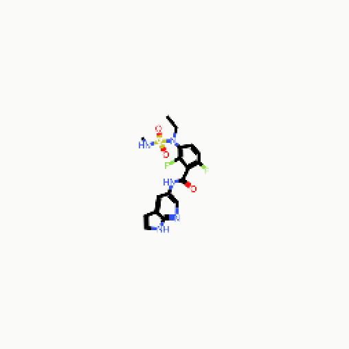 CCN(c1ccc(F)c(C(=O)Nc2cnc3[nH]ccc3c2)c1F)S(=O)(=O)NC